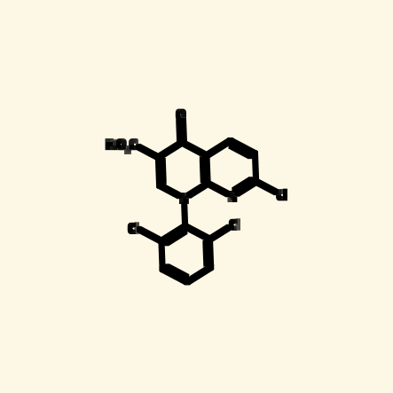 CCOC(=O)c1cn(-c2c(Cl)cccc2Cl)c2nc(Cl)ccc2c1=O